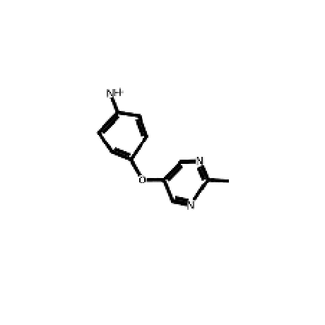 Cc1ncc(Oc2ccc([NH])cc2)cn1